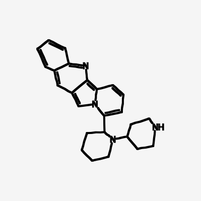 c1ccc2nc3c(cc2c1)cn1c(C2CCCCN2C2CCNCC2)cccc31